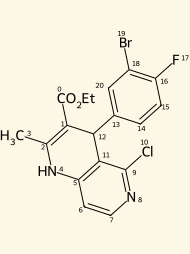 CCOC(=O)C1=C(C)Nc2ccnc(Cl)c2C1c1ccc(F)c(Br)c1